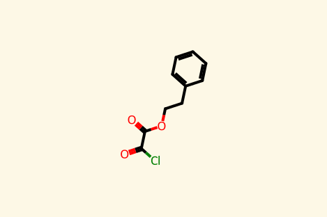 O=C(Cl)C(=O)OCCc1ccccc1